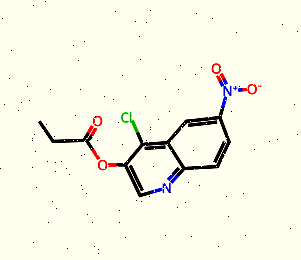 CCC(=O)Oc1cnc2ccc([N+](=O)[O-])cc2c1Cl